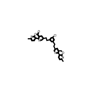 Cc1ccc2c(n1)OCc1cc(CCc3cc(Cl)cc(CCc4cnc5c(c4)c(=O)oc4nc(C)ccc45)c3)cnc1-2